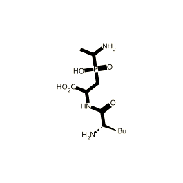 CC[C@H](C)[C@H](N)C(=O)NC(CP(=O)(O)C(C)N)C(=O)O